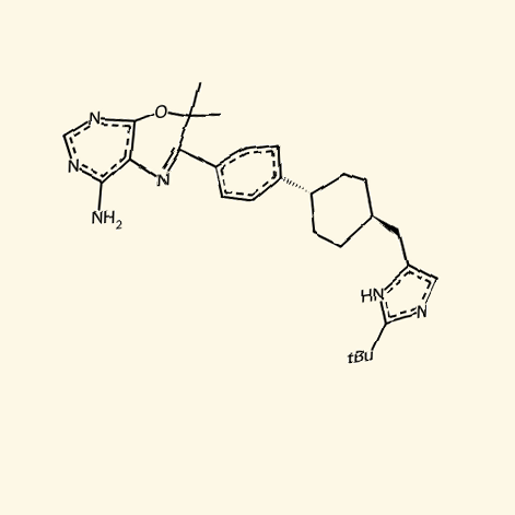 CC1(C)Oc2ncnc(N)c2N=C1c1ccc([C@H]2CC[C@H](Cc3cnc(C(C)(C)C)[nH]3)CC2)cc1